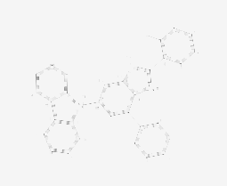 Oc1ccccc1-c1nc2c(-c3ccccc3)cc(-n3c4ccccc4c4ccccc43)cc2s1